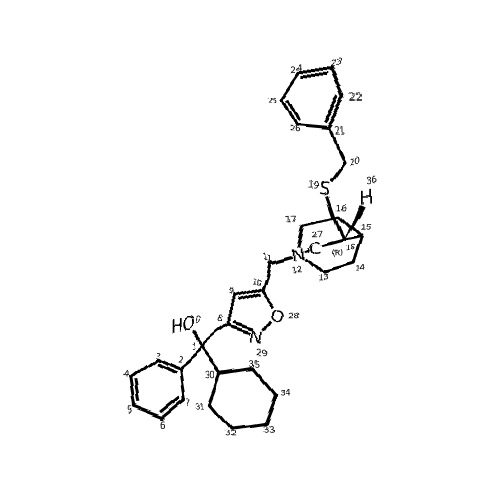 OC(c1ccccc1)(c1cc(C[N+]23CCC(CC2)[C@@H](SCc2ccccc2)C3)on1)C1CCCCC1